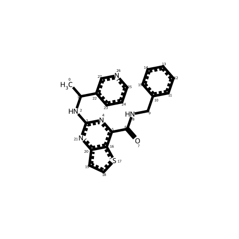 CC(Nc1nc(C(=O)NCc2ccccc2)c2sccc2n1)c1cccnc1